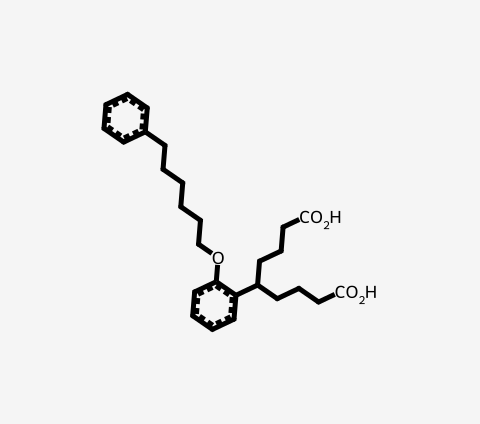 O=C(O)CCCC(CCCC(=O)O)c1ccccc1OCCCCCCc1ccccc1